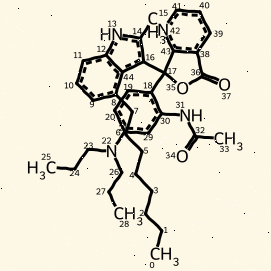 CCCCCCCCc1cccc2[nH]c(C)c(C3(c4ccc(N(CCC)CCC)cc4NC(C)=O)OC(=O)c4cccnc43)c12